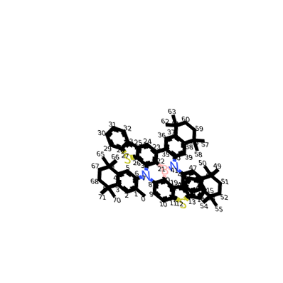 Cc1cc2c(cc1N1c3ccc4sc5ccccc5c4c3B3c4c(cc5c(sc6ccccc65)c41)-c1cc4c(cc1N3c1ccc3c(c1)C(C)(C)CCC3(C)C)C(C)(C)CCC4(C)C)C(C)(C)CCC2(C)C